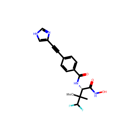 COC(C)(C(F)F)[C@H](NC(=O)c1ccc(C#Cc2c[nH]cn2)cc1)C(=O)NO